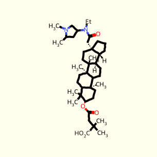 CCN(C(=O)C[C@]12CCC[C@@H]1[C@H]1CCC3[C@@]4(C)CC[C@H](OC(=O)CC(C)(C)C(=O)O)C(C)(C)C4CC[C@@]3(C)[C@]1(C)CC2)C1CC(C)N(C)C1